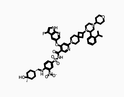 CC(C)c1ccccc1C1CN(C2CCOCC2)CCN1C1CC2(CCN(c3cc(Oc4cnc5[nH]cc(F)c5c4)c(C(=O)NS(=O)(=O)c4ccc(NC[C@H]5CC[C@](C)(O)CC5)c([N+](=O)[O-])c4)cn3)CC2)C1